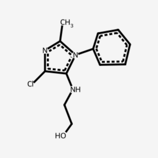 Cc1nc(Cl)c(NCCO)n1-c1ccccc1